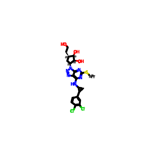 CCCSc1nc(NC2CC2c2ccc(Cl)c(Cl)c2)c2nnn([C@@H]3C[C@H](CCO)[C@@H](O)[C@H]3O)c2n1